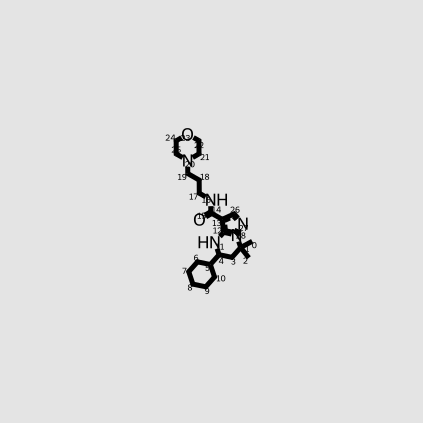 CC1(C)CC(C2CCCCC2)Nc2c(C(=O)NCCCN3CCOCC3)cnn21